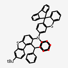 CC(C)(C)c1ccc2c(c1)sc1ccc(N(c3ccccc3)c3ccc4c(c3)Sc3ccccc3C43c4ccccc4-c4ccccc43)c(C(c3ccccc3)c3ccccc3)c12